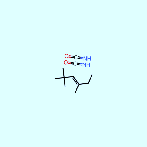 CCC(C)=CC(C)(C)C.N=C=O.N=C=O